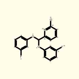 Fc1cccc(OC(Oc2cccc(F)c2)c2cccc(Cl)n2)c1